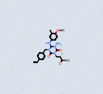 C=Cc1ccc(CN2C(=O)N(C[C@H](C)C(=O)N=O)C(=O)N(N)C2Nc2ccc(OC(C)C)c(C)c2)cc1